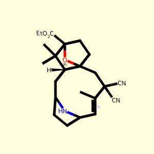 CCOC(=O)C12CCC3(CC(C#N)(C#N)/C(C)=C/C4CCC(C[C@@H]3C1(C)C)N4)O2